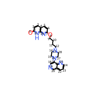 O=c1ccc2ccc(OCCCCN3CCN(c4cncc5cccnc45)CC3)nc2[nH]1